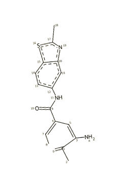 C=C(C)/C(N)=C\C(=C/C)C(=O)Nc1ccc2sc(C)nc2c1